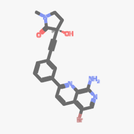 CN1CC[C@@](O)(C#Cc2cccc(-c3ccc4c(Br)cnc(N)c4n3)c2)C1=O